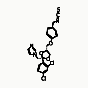 S=C=NCc1ccc(OC[C@@H]2CO[C@@](Cn3ccnc3)(c3ccc(Cl)cc3Cl)O2)cc1